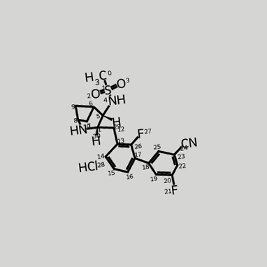 CS(=O)(=O)N[C@H]1C2CC(C2)N[C@H]1Cc1cccc(-c2cc(F)cc(C#N)c2)c1F.Cl